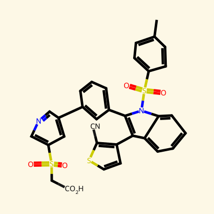 Cc1ccc(S(=O)(=O)n2c(-c3cccc(-c4cncc(S(=O)(=O)CC(=O)O)c4)c3)c(-c3ccsc3C#N)c3ccccc32)cc1